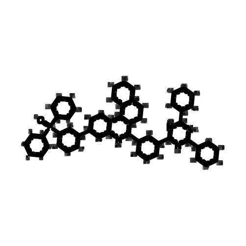 O=P(c1ccccc1)(c1ccccc1)c1cccc(-c2ccc3c(c2)nc(-c2cccc(-c4nc(-c5ccccc5)nc(-c5ccccc5)n4)c2)c2ccc4ccccc4c23)c1